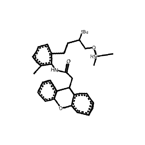 Cc1cccc(CCC(CO[SiH](C)C)C(C)(C)C)c1NC(=O)CC1c2ccccc2Oc2ccccc21